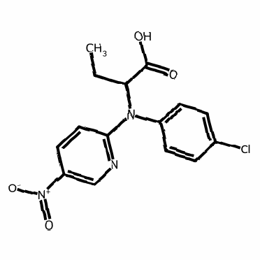 CCC(C(=O)O)N(c1ccc(Cl)cc1)c1ccc([N+](=O)[O-])cn1